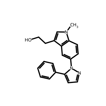 Cn1cc(CCO)c2cc(-n3nccc3-c3ccccc3)ccc21